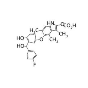 Cc1cc2[nH]c(OC(=O)O)c(C)c2c(C)c1Oc1ccc(O)c(C(O)c2ccc(F)cc2)c1